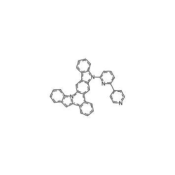 c1cc(-c2ccncc2)nc(-n2c3ccccc3c3cc4c(cc32)c2ccccc2c2cc3ccccc3n24)c1